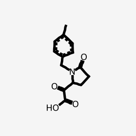 Cc1ccc(CN2C(=O)CCC2C(=O)C(=O)O)cc1